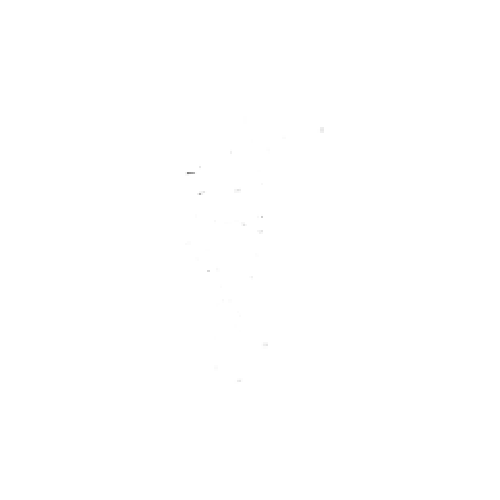 CC(C)CCC[C@@H](C)[C@H]1C[C@H](O)[C@@]2(C)C3=CCC4C(C)(C)C(OC(=O)c5ccccc5)CC[C@]4(C)[C@H]3CC[C@]12C